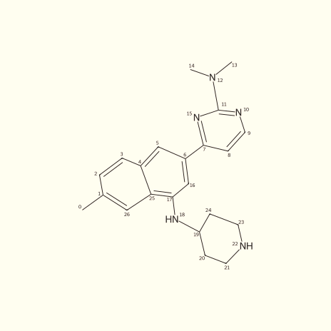 Cc1ccc2cc(-c3ccnc(N(C)C)n3)cc(NC3CCNCC3)c2c1